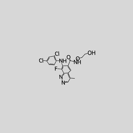 Cc1cnnc2c(F)c(Nc3ccc(Cl)cc3Cl)c(C(=O)NOCCO)cc12